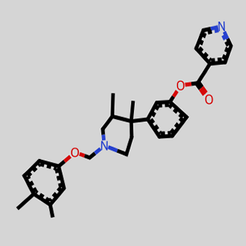 Cc1ccc(OCN2CCC(C)(c3cccc(OC(=O)c4ccncc4)c3)C(C)C2)cc1C